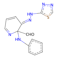 O=CC1(Nc2ccccc2)N=CC=CC1=NNc1nncs1